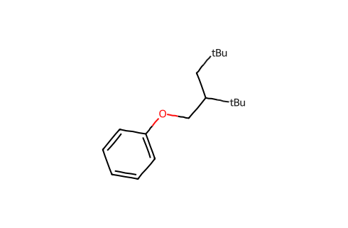 CC(C)(C)CC(COc1ccccc1)C(C)(C)C